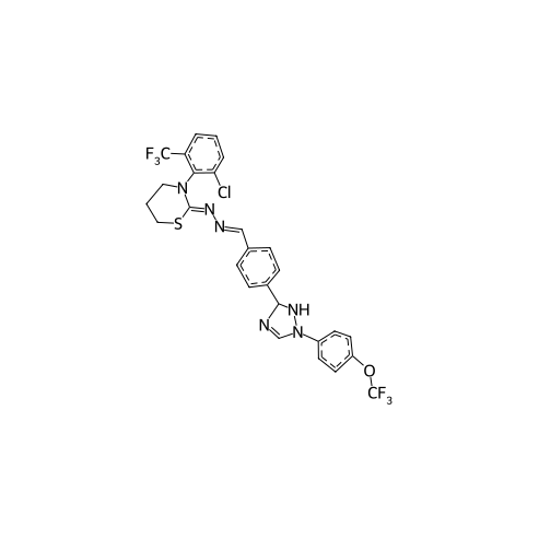 FC(F)(F)Oc1ccc(N2C=NC(c3ccc(/C=N/N=C4\SCCCN4c4c(Cl)cccc4C(F)(F)F)cc3)N2)cc1